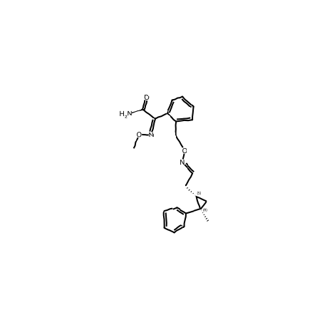 CON=C(C(N)=O)c1ccccc1CON=CC[C@@H]1C[C@@]1(C)c1ccccc1